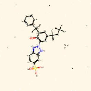 CC(C)(C)CC(C)(C)c1cc(-n2nc3ccc(S(=O)(=O)[O-])cc3n2)c(O)c(C(C)(C)c2ccccc2)c1.[Na+]